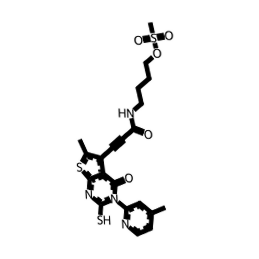 Cc1ccnc(-n2c(S)nc3sc(C)c(C#CC(=O)NCCCCOS(C)(=O)=O)c3c2=O)c1